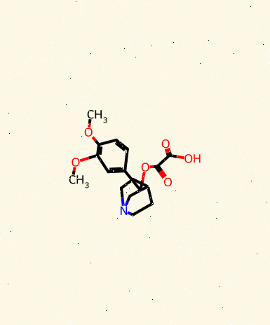 COc1ccc(C2(OC(=O)C(=O)O)CN3CCC2CC3)cc1OC